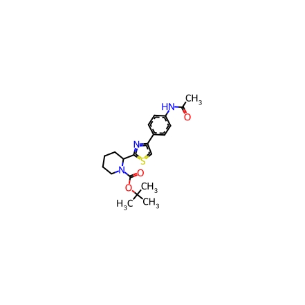 CC(=O)Nc1ccc(-c2csc(C3CCCCN3C(=O)OC(C)(C)C)n2)cc1